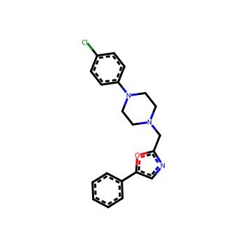 Clc1ccc(N2CCN(Cc3ncc(-c4ccccc4)o3)CC2)cc1